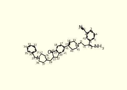 N#Cc1cccc(/C(=C\N)CCN2CC=C(c3ccc4c(c3)CC(CC3CCN(Cc5ccccc5)CC3)C4=O)CC2)c1